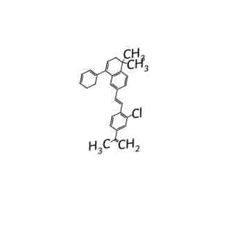 C=C(C)c1ccc(/C=C/c2ccc3c(c2)C(C2=CC=CCC2)=CCC3(C)C)c(Cl)c1